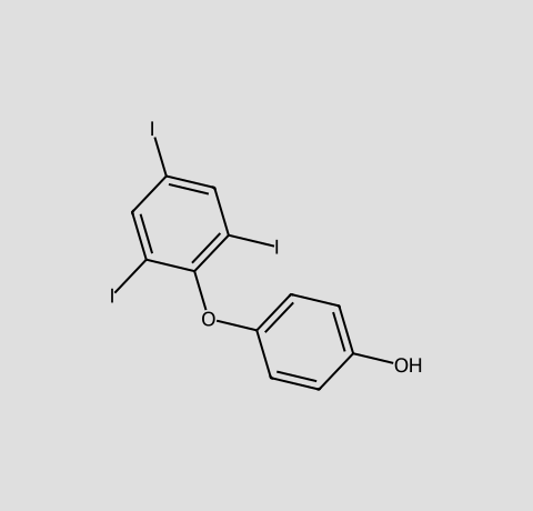 Oc1ccc(Oc2c(I)cc(I)cc2I)cc1